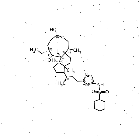 CC[C@@H]1CC[C@H](O)CCC(C)[C@H]2CCC3(C)C([C@H](C)CCc4nnc(NS(=O)(=O)C5CCCCC5)[nH]4)CC[C@H]3[C@@H]2[C@@H]1O